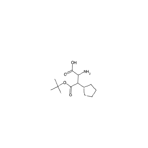 CC(C)(C)OC(=O)C(C1CCCC1)C(N)C(=O)O